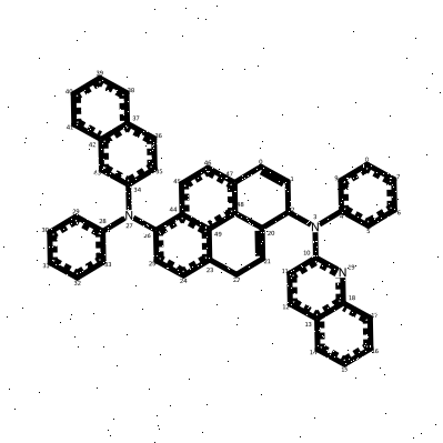 C1=CC(N(c2ccccc2)c2ccc3ccccc3n2)C2=CCc3ccc(N(c4ccccc4)c4ccc5ccccc5c4)c4ccc1c2c34